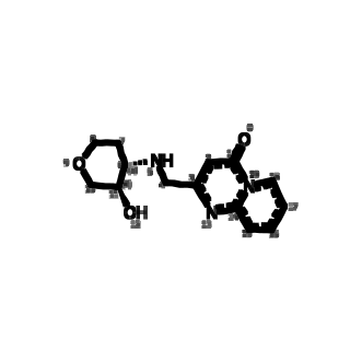 O=c1cc(CN[C@H]2CCOC[C@@H]2O)nc2ccccn12